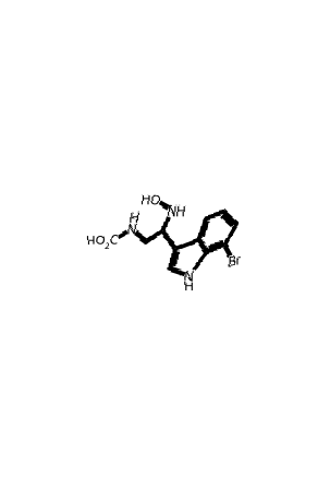 O=C(O)NCC(NO)c1c[nH]c2c(Br)cccc12